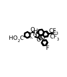 C[C@@H]1CC(C(=O)O)CC[C@H]1C(=O)N1CC[C@@]2(S(=O)(=O)c3ccc(F)cc3)c3ccc(C(F)(C(F)(F)F)C(F)(F)F)cc3CC[C@@H]12